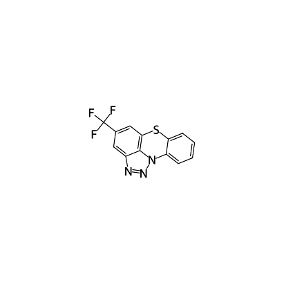 FC(F)(F)c1cc2c3c(c1)nnn3-c1ccccc1S2